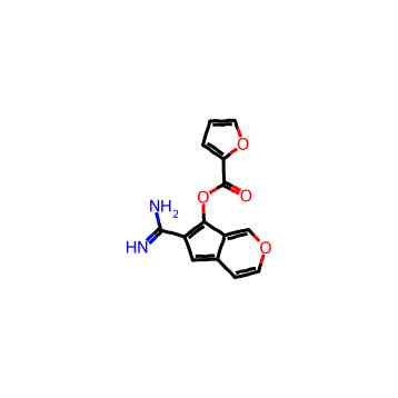 N=C(N)c1cc2ccocc-2c1OC(=O)c1ccco1